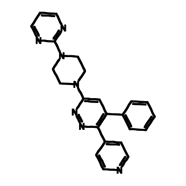 c1ccc(-c2cc(N3CCN(c4ncccn4)CC3)nnc2-c2ccncc2)cc1